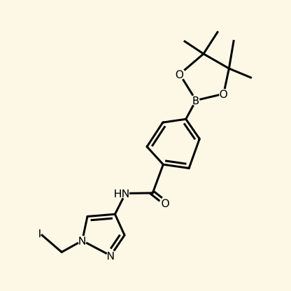 CC1(C)OB(c2ccc(C(=O)Nc3cnn(CI)c3)cc2)OC1(C)C